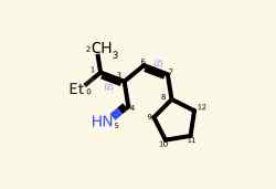 CC/C(C)=C(C=N)/C=C\C1CCCC1